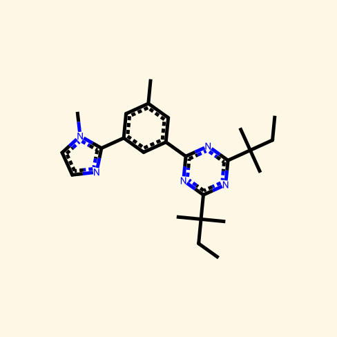 CCC(C)(C)c1nc(-c2cc(C)cc(-c3nccn3C)c2)nc(C(C)(C)CC)n1